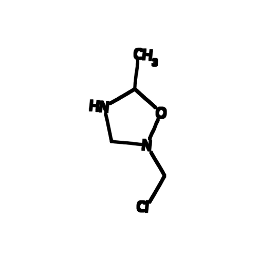 CC1NCN(CCl)O1